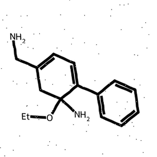 CCOC1(N)CC(CN)=CC=C1c1ccccc1